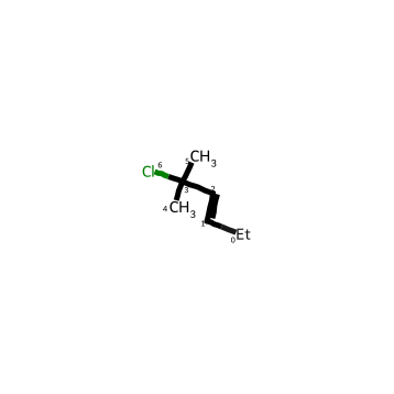 CCC=CC(C)(C)Cl